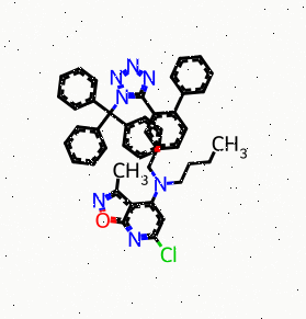 CCCCN(Cc1ccc(-c2ccccc2)c(-c2nnnn2C(c2ccccc2)(c2ccccc2)c2ccccc2)c1)c1cc(Cl)nc2onc(C)c12